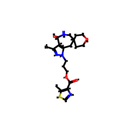 CCc1nn(CCCOC(=O)c2ncsc2C)c2c1C(=O)NCC1(CCOCC1)C2